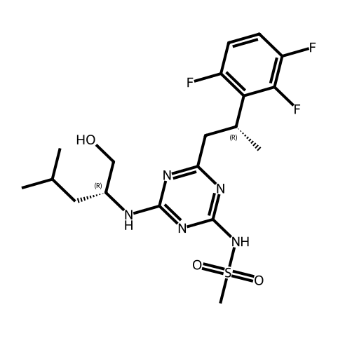 CC(C)C[C@H](CO)Nc1nc(C[C@@H](C)c2c(F)ccc(F)c2F)nc(NS(C)(=O)=O)n1